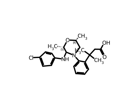 C[C@@H]1CN(c2ccccc2C(C)(C)CC(=O)O)C(Nc2ccc(Cl)cc2)[C@H](C)O1